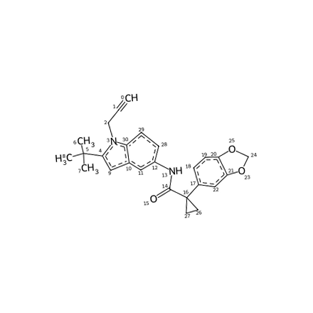 C#CCn1c(C(C)(C)C)cc2cc(NC(=O)C3(c4ccc5c(c4)OCO5)CC3)ccc21